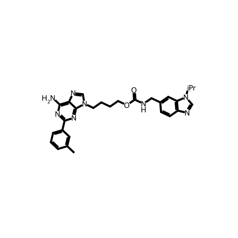 Cc1cccc(-c2nc(N)c3ncn(CCCCOC(=O)NCc4ccc5ncn(C(C)C)c5c4)c3n2)c1